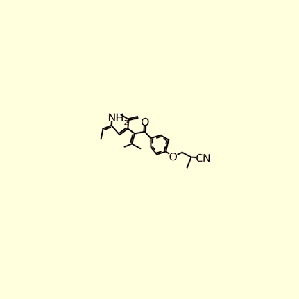 C=C(C)/C(=C\C(N)=C/C)C(C(=O)c1ccc(OCC(C)C#N)cc1)=C(C)C